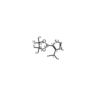 CC(C)c1ncsc1B1OC(C)(C)C(C)(C)O1